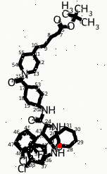 CC(C)(C)OC(=O)CCCCC1CCN(C(=O)C2CCC(NC(=O)[C@@H]3NC4(CCCCC4)[C@@]4(C(=O)Nc5cc(Cl)ccc54)[C@H]3c3cccc(Cl)c3F)CC2)CC1